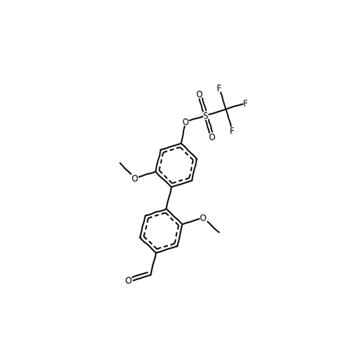 COc1cc(C=O)ccc1-c1ccc(OS(=O)(=O)C(F)(F)F)cc1OC